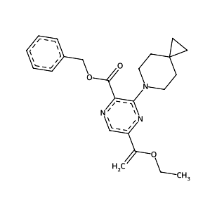 C=C(OCC)c1cnc(C(=O)OCc2ccccc2)c(N2CCC3(CC2)CC3)n1